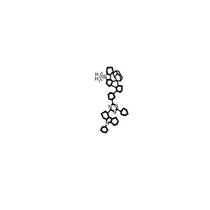 C[Si]1(C)c2ccccc2-c2c1ccc1c2C2(c3cccc(-c4cccc(-c5nc(-c6ccccc6)nc(-c6cccc7c6c6ccccc6n7-c6ccccc6)n5)c4)c3-1)C1CC3CC(C1)CC2C3